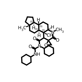 CN1C(=O)C2(CO2)C(C(=O)N(C(=O)NC2CCCCC2)C2CCCCC2)[C@]2(C)[C@H]3CC[C@]4(C)CCC[C@H]4[C@@H]3CC[C@@H]12